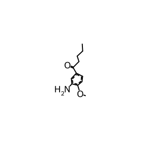 CCCCC(=O)c1ccc(OC)c(N)c1